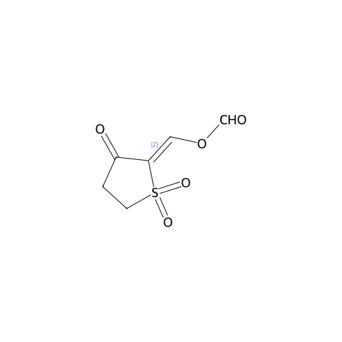 O=CO/C=C1/C(=O)CCS1(=O)=O